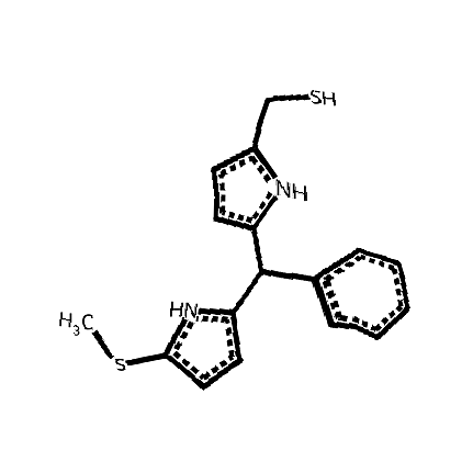 CSc1ccc(C(c2ccccc2)c2ccc(CS)[nH]2)[nH]1